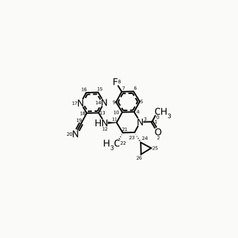 CC(=O)N1c2ccc(F)cc2[C@H](Nc2nccnc2C#N)[C@@H](C)[C@H]1C1CC1